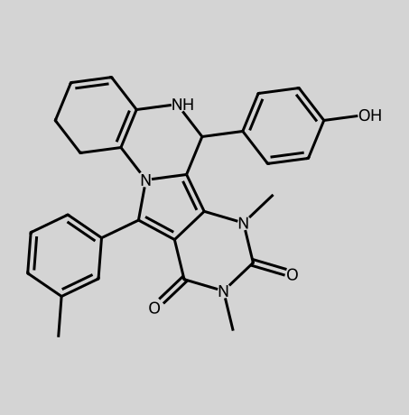 Cc1cccc(-c2c3c(=O)n(C)c(=O)n(C)c3c3n2C2=C(C=CCC2)NC3c2ccc(O)cc2)c1